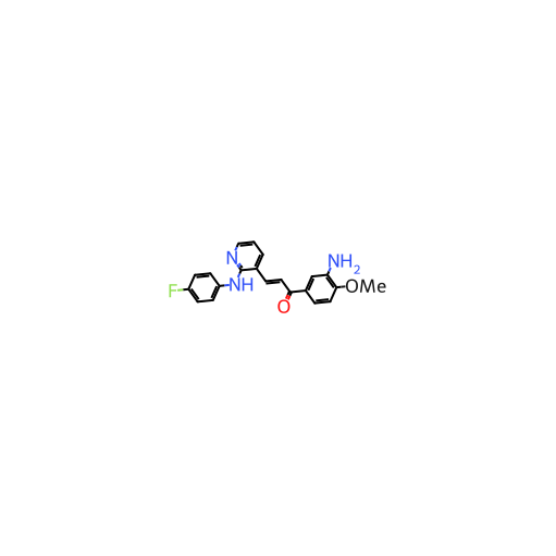 COc1ccc(C(=O)C=Cc2cccnc2Nc2ccc(F)cc2)cc1N